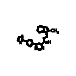 Cc1cc2ccccc2n1CC[AsH]c1cc(-c2ccc(-c3nccs3)cc2)ncn1